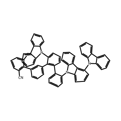 N#Cc1cccc(C#N)c1-c1cccc(-c2c(-c3ccccc3-n3c4ccccc4c4c(-n5c6ccccc6c6ccccc65)cccc43)cccc2-n2c3ccccc3c3ccccc32)c1